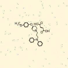 COc1ccc(OC2=CCN(CCCN(c3ccccc3)c3ccccc3)CC2)cc1.O=C(O)C=CC(=O)O